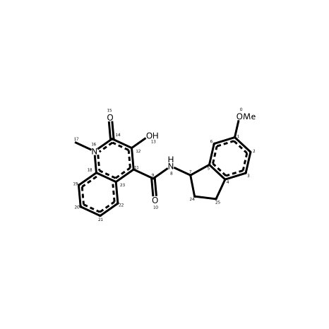 COc1ccc2c(c1)C(NC(=O)c1c(O)c(=O)n(C)c3ccccc13)CC2